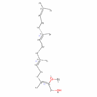 CCO/C(CO)=C(/C)CC/C=C(\C)CC/C=C(\C)CCC=C(C)C